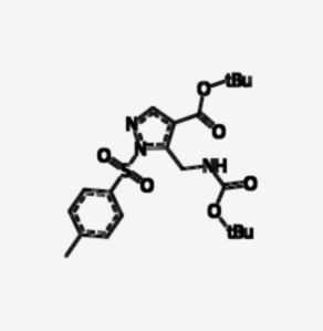 Cc1ccc(S(=O)(=O)n2ncc(C(=O)OC(C)(C)C)c2CNC(=O)OC(C)(C)C)cc1